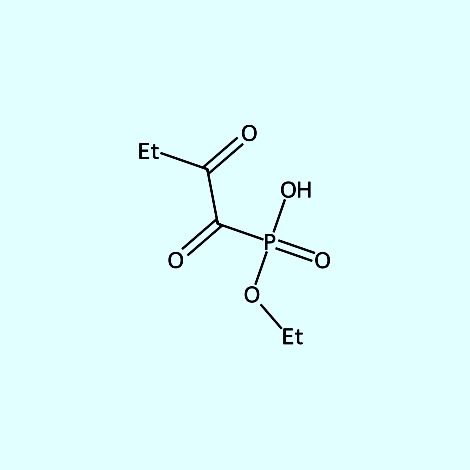 CCOP(=O)(O)C(=O)C(=O)CC